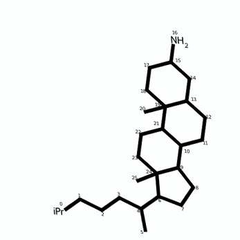 CC(C)CCCC(C)C1CCC2C3CCC4CC(N)CCC4(C)C3CCC12C